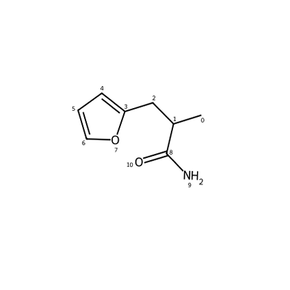 CC(Cc1ccco1)C(N)=O